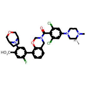 C[C@@H]1CN(c2cc(Cl)c(C(=O)N3COc4c(cccc4-c4cc(N5C6CCC5COC6)c(C(=O)O)cc4F)C3)c(Cl)c2)CCN1C